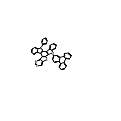 c1ccc(-n2c3ccccc3c3c4c5ncncc5sc4c4c(c5ccccc5n4-c4ccc5c6ccccc6c6ccccc6c5c4)c32)cc1